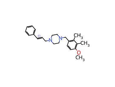 COc1ccc(CN2CCN(C/C=C/c3ccccc3)CC2)c(C)c1C